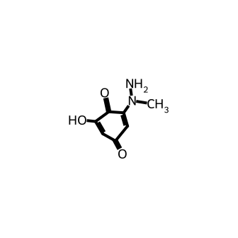 CN(N)C1=CC(=O)C=C(O)C1=O